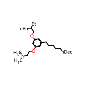 CCCCCCCCCCCCCCCc1cc(OCCN(C)C)cc(OCC(CC)CCCC)c1